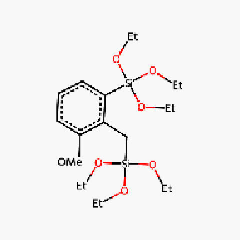 CCO[Si](Cc1c(OC)cccc1[Si](OCC)(OCC)OCC)(OCC)OCC